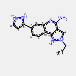 CC(C)(C)Cn1cc2c(N)nc3cc(-c4ccn[nH]4)ccc3c2n1